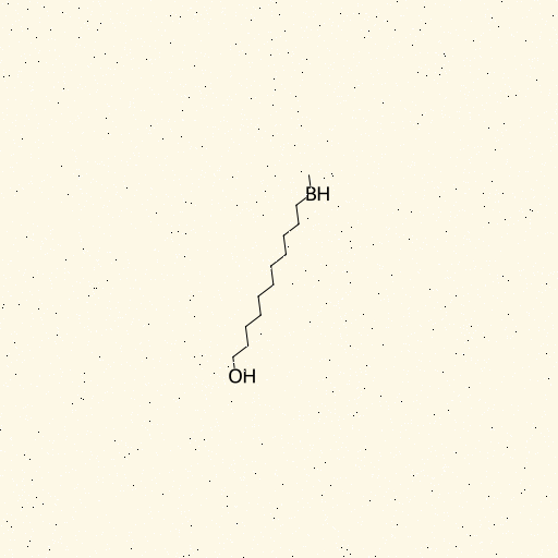 CBCCCCCCCCCCCO